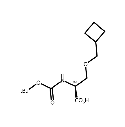 CC(C)(C)OC(=O)N[C@@H](COCC1CCC1)C(=O)O